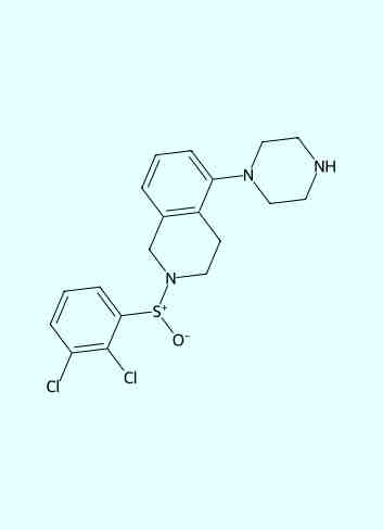 [O-][S+](c1cccc(Cl)c1Cl)N1CCc2c(cccc2N2CCNCC2)C1